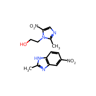 Cc1nc2cc([N+](=O)[O-])ccc2[nH]1.Cc1ncc([N+](=O)[O-])n1CCO